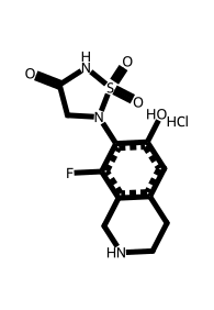 Cl.O=C1CN(c2c(O)cc3c(c2F)CNCC3)S(=O)(=O)N1